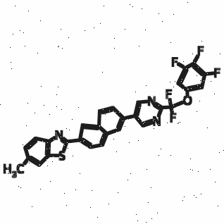 Cc1ccc2nc(-c3ccc4cc(-c5cnc(C(F)(F)Oc6cc(F)c(F)c(F)c6)nc5)ccc4c3)sc2c1